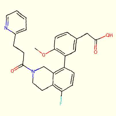 COc1ccc(CC(=O)O)cc1-c1ccc(F)c2c1CN(C(=O)CCc1ccccn1)CC2